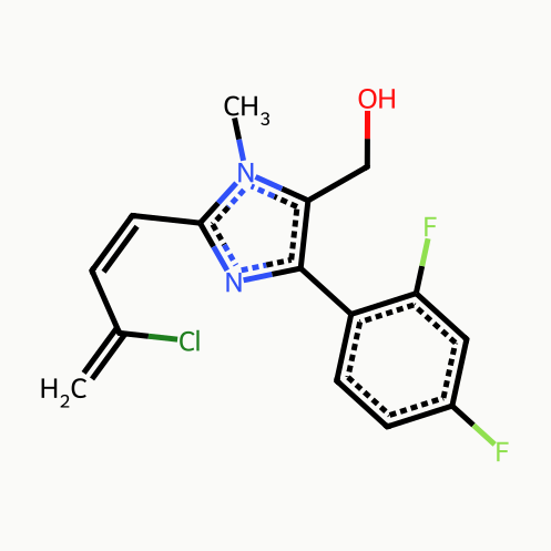 C=C(Cl)/C=C\c1nc(-c2ccc(F)cc2F)c(CO)n1C